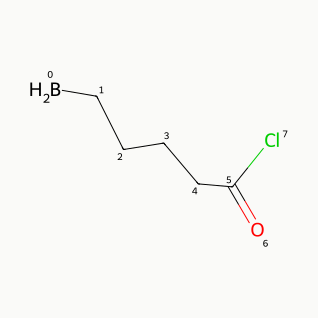 BCCCCC(=O)Cl